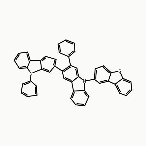 c1ccc(-c2cc3c(cc2-c2ccc4c5ccccc5n(-c5ccccc5)c4c2)c2ccccc2n3-c2ccc3sc4ccccc4c3c2)cc1